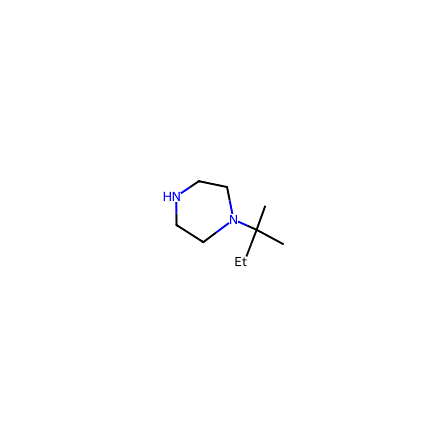 CCC(C)(C)N1CCNCC1